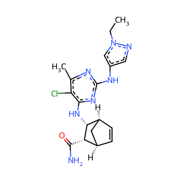 CCn1cc(Nc2nc(C)c(Cl)c(N[C@H]3[C@@H](C(N)=O)[C@@H]4C=C[C@H]3C4)n2)cn1